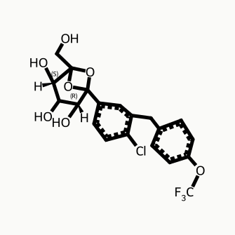 OCC12OC(c3ccc(Cl)c(Cc4ccc(OC(F)(F)F)cc4)c3)(O1)[C@H](O)C(O)[C@@H]2O